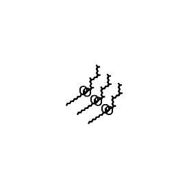 CCCCCCCCCCCC(=O)OCC=C(C)CCC=C(C)CCC=C(C)CCC=C(C)C.CCCCCCCCCCCC(=O)OCC=C(C)CCC=C(C)CCC=C(C)CCC=C(C)C.CCCCCCCCCCCC(=O)OCC=C(C)CCC=C(C)CCC=C(C)CCC=C(C)C